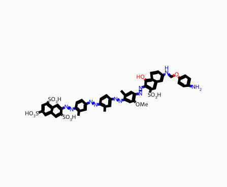 COc1cc(N=Nc2ccc(N=Nc3ccc(N=Nc4cc5c(S(=O)(=O)O)cc(S(=O)(=O)O)cc5cc4S(=O)(=O)O)c(C)c3)c(C)c2)c(C)cc1N=Nc1c(S(=O)(=O)O)cc2cc(NCOc3ccc(N)cc3)ccc2c1O